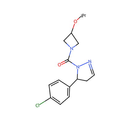 CC(C)OC1CN(C(=O)N2N=CCC2c2ccc(Cl)cc2)C1